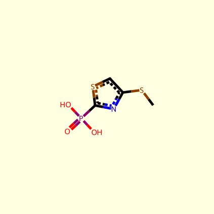 CSc1csc(P(=O)(O)O)n1